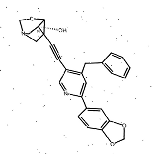 O[C@]1(C#Cc2cnc(-c3ccc4c(c3)OCO4)cc2Cc2ccccc2)CN2CCC1CC2